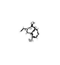 C=CN1Cc2c(Br)cccc2C1=O